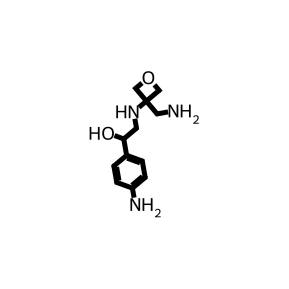 NCC1(NCC(O)c2ccc(N)cc2)COC1